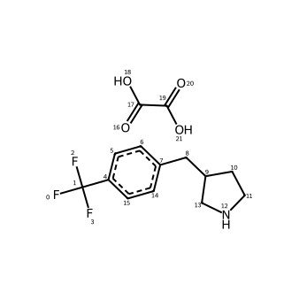 FC(F)(F)c1ccc(CC2CCNC2)cc1.O=C(O)C(=O)O